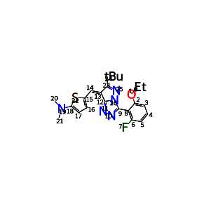 CCOc1cccc(F)c1-c1nnc2/c(=C\c3ccc(N(C)C)s3)c(C(C)(C)C)nn12